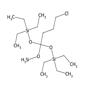 CC[Si](CC)(CC)OC(CCCCl)(O[SiH3])O[Si](CC)(CC)CC